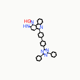 N=C1C=Cc2c(-c3ccc(-c4ccc(-c5nc(-c6ccccc6)nc(-c6ccccc6)n5)cc4)cc3)nc3ccccc3c2/C1=N/O